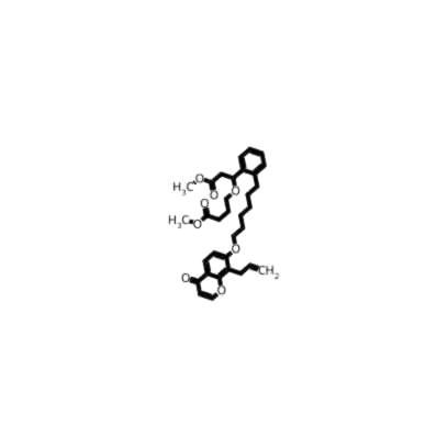 C=CCc1c(OCCCCCCc2ccccc2C(CC(=O)OC)OCCCC(=O)OC)ccc2c(=O)ccoc12